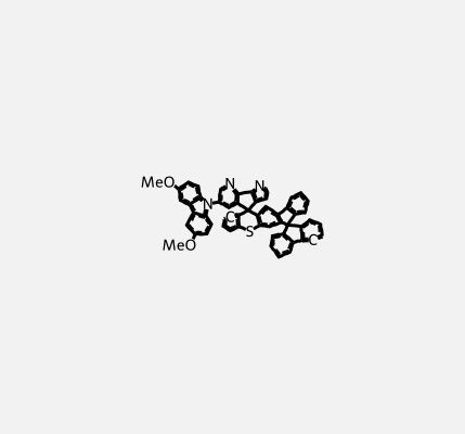 COc1ccc2c(c1)c1cc(OC)ccc1n2-c1cnc2c(c1)C1(c3ccccc3Sc3cc4c(cc31)-c1ccccc1C41c3ccccc3-c3ccccc31)c1cccnc1-2